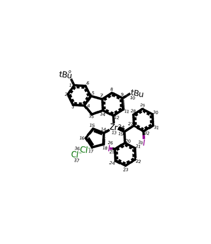 CC(C)(C)c1ccc2c(c1)-c1cc(C(C)(C)C)c[c]([Zr+2]([C]3=CC=CC3)=[C](c3ccccc3I)c3ccccc3I)c1C2.[Cl-].[Cl-]